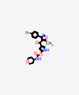 Cc1onc(-c2ccc(Br)cc2)c1C(=O)c1c[nH]c(OC(=O)NC2CCOCC2)c1